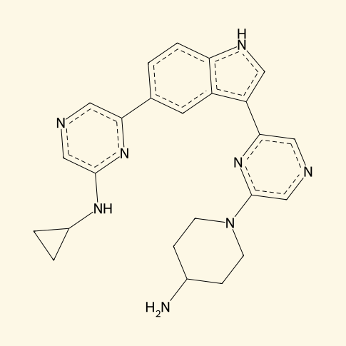 NC1CCN(c2cncc(-c3c[nH]c4ccc(-c5cncc(NC6CC6)n5)cc34)n2)CC1